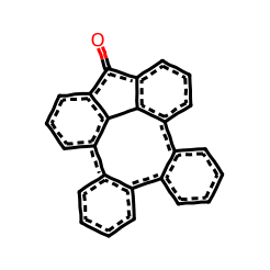 O=c1c2cccc3c2-c2c1cccc2c1ccccc1c1ccccc31